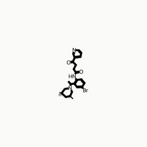 CC(c1cc(Br)ccc1NC(=O)CCC(=O)c1cccnc1)N1C[C@H](C)C[C@H](C)C1